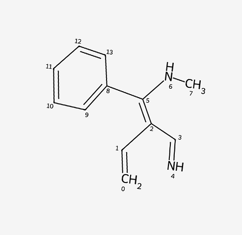 C=C/C(C=N)=C(/NC)c1ccccc1